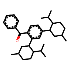 CC1CCC(C(C)C)C(c2ccc(C(=O)c3ccccc3)c(C3CC(C)CCC3C(C)C)c2)C1